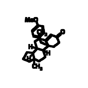 C=C1C[C@@H]2[C@@H](CC[C@]3(C)CCC[C@@H]23)[C@@]2(Cc3ccc(OC)cc3)CCC(=O)C=C12